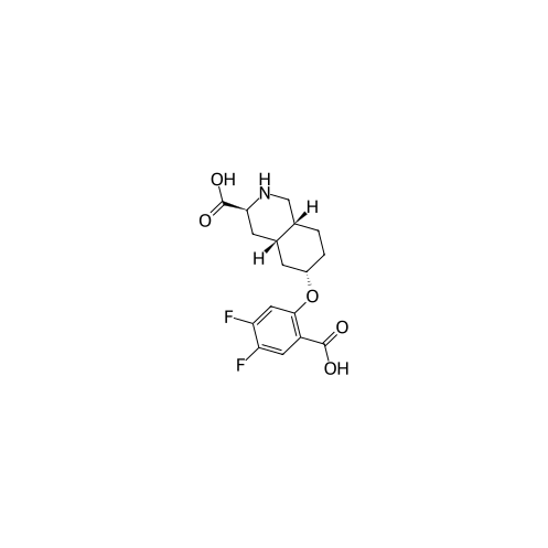 O=C(O)c1cc(F)c(F)cc1O[C@H]1CC[C@H]2CN[C@H](C(=O)O)C[C@H]2C1